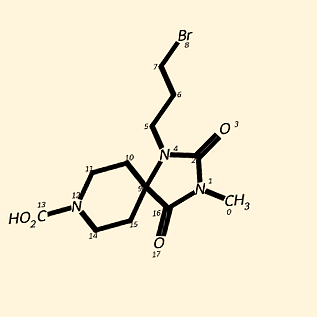 CN1C(=O)N(CCCBr)C2(CCN(C(=O)O)CC2)C1=O